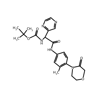 Cc1cc(NC(=O)C(NC(=O)OC(C)(C)C)c2cnccn2)ccc1N1CCOCC1=O